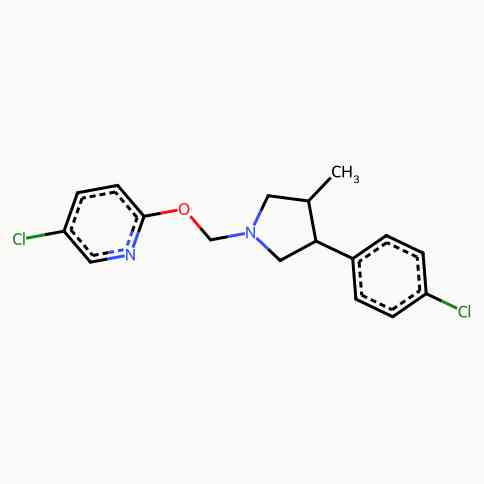 CC1CN(COc2ccc(Cl)cn2)CC1c1ccc(Cl)cc1